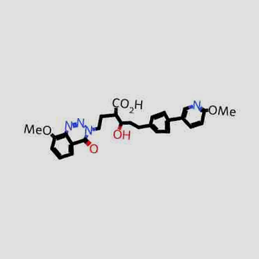 COc1ccc(-c2ccc(CCC(O)C(CCn3nnc4c(OC)cccc4c3=O)C(=O)O)cc2)cn1